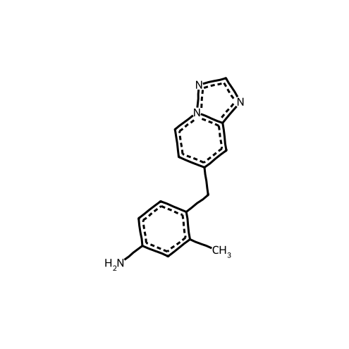 Cc1cc(N)ccc1Cc1ccn2ncnc2c1